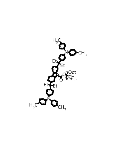 CCCCCCCCC(C)(CCCCCCCC)OC(=O)n1c2cc(C(CC)(CC)c3ccc(N(c4ccc(C)cc4)c4ccc(C)cc4)cc3)ccc2c2ccc(C(CC)(CC)c3ccc(N(c4ccc(C)cc4)c4ccc(C)cc4)cc3)cc21